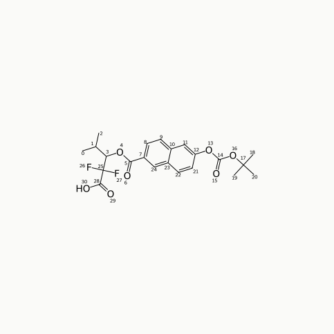 CC(C)C(OC(=O)c1ccc2cc(OC(=O)OC(C)(C)C)ccc2c1)C(F)(F)C(=O)O